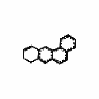 C1=Cc2cc3c(ccc4ccccc43)cc2CC1